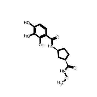 CONC(=O)[C@@H]1CC[C@H](NC(=O)c2ccc(O)c(O)c2O)C1